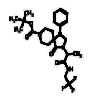 CC(C(=O)NCC(F)(F)F)N1CN(c2ccccc2)C2(CCN(C(=O)OC(C)(C)C)CC2)C1=O